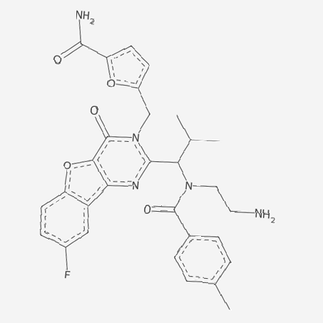 Cc1ccc(C(=O)N(CCN)C(c2nc3c(oc4ccc(F)cc43)c(=O)n2Cc2ccc(C(N)=O)o2)C(C)C)cc1